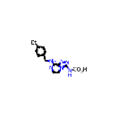 CCc1ccc(CNc2nccn3c(NC(=O)O)nnc23)cc1